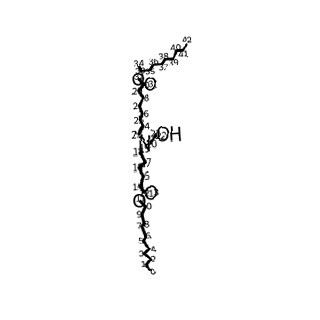 CCCCCCCCCCCOC(=O)CCCCCN(CCO)CCCCCCCC(=O)OC(C)CCCCCCCC